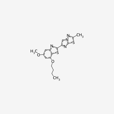 CCCCOc1cc(OC)cc2nc(-c3cn4nc(C)sc4n3)sc12